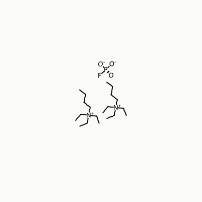 CCCC[N+](CC)(CC)CC.CCCC[N+](CC)(CC)CC.O=P([O-])([O-])F